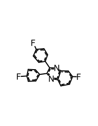 Fc1ccc(-c2nc3ccc(F)cc3nc2-c2ccc(F)cc2)cc1